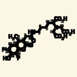 Cc1c(CC(=O)NCCCCC(C(=O)O)N(CC(=O)O)CC(=O)O)c(=O)oc2c(F)c(O)c(F)cc12